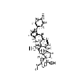 CCC(=O)O[C@]1(C(=O)S)CC[C@H]2[C@@H]3C=CC4=Cc5c(cnn5-c5ccc(F)nc5)C[C@]4(C)[C@H]3[C@@H](O)C[C@@]21C